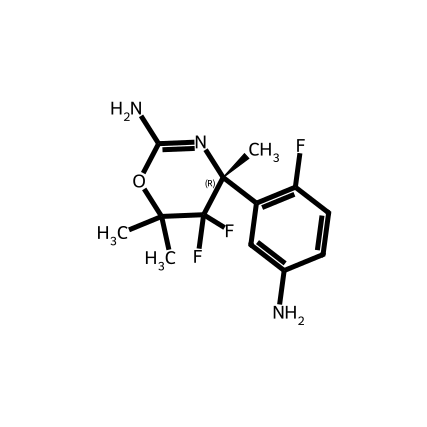 CC1(C)OC(N)=N[C@](C)(c2cc(N)ccc2F)C1(F)F